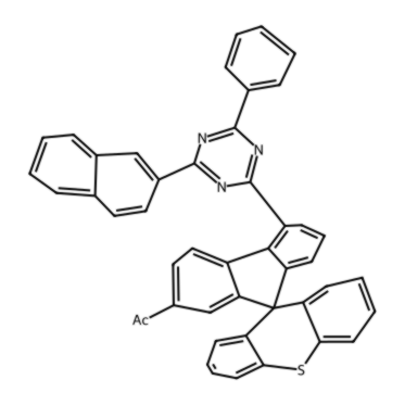 CC(=O)c1ccc2c(c1)C1(c3ccccc3Sc3ccccc31)c1cccc(-c3nc(-c4ccccc4)nc(-c4ccc5ccccc5c4)n3)c1-2